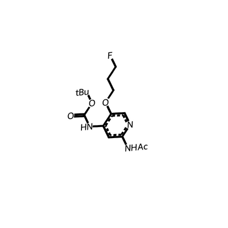 CC(=O)Nc1cc(NC(=O)OC(C)(C)C)c(OCCCF)cn1